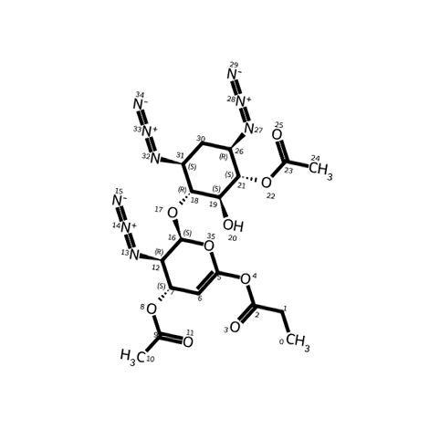 CCC(=O)OC1=C[C@H](OC(C)=O)[C@@H](N=[N+]=[N-])[C@@H](O[C@H]2[C@H](O)[C@@H](OC(C)=O)[C@H](N=[N+]=[N-])C[C@@H]2N=[N+]=[N-])O1